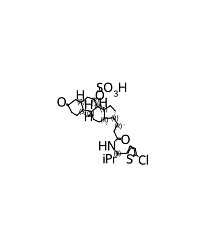 CC(C)[C@@H](NC(=O)C[C@@H](C)[C@H]1CC[C@H]2[C@@H]3[C@H](OS(=O)(=O)O)C[C@@H]4CC(=O)CC[C@]4(C)[C@H]3CC[C@]12C)c1ccc(Cl)s1